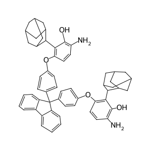 Nc1ccc(Oc2ccc(C3(c4ccc(Oc5ccc(N)c(O)c5C5C6CC7CC(C6)CC5C7)cc4)c4ccccc4-c4ccccc43)cc2)c(C2C3CC4CC(C3)CC2C4)c1O